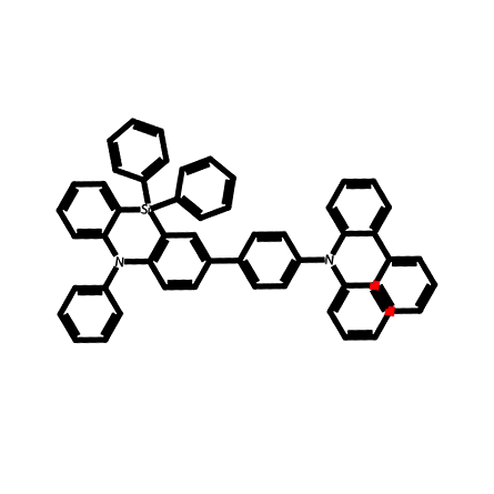 c1ccc(-c2ccccc2N(c2ccccc2)c2ccc(-c3ccc4c(c3)[Si](c3ccccc3)(c3ccccc3)c3ccccc3N4c3ccccc3)cc2)cc1